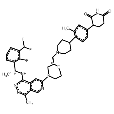 Cc1cc(C2CCC(=O)NC2=O)ccc1C1CCN(C[C@@H]2CN(c3cc4c(N[C@H](C)c5cccc(C(F)F)c5F)nnc(C)c4cn3)CCO2)CC1